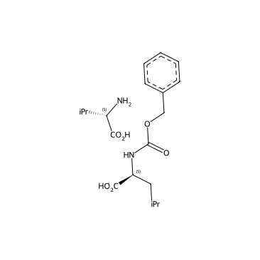 CC(C)C[C@H](NC(=O)OCc1ccccc1)C(=O)O.CC(C)[C@H](N)C(=O)O